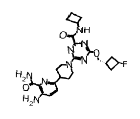 NC(=O)c1nc(C2CCN(c3nc(OC[C@H]4C[C@H](F)C4)nc(C(=O)NC4CCC4)n3)CC2)ccc1N